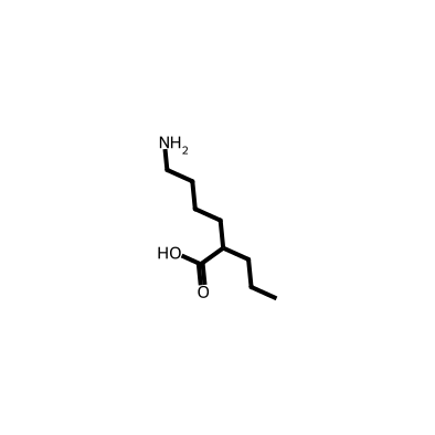 CCCC(CCCCN)C(=O)O